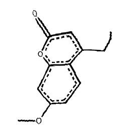 CCc1cc(=O)oc2cc(OC)ccc12